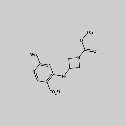 CCOC(=O)c1cnc(SC)nc1NC1CN(C(=O)OC(C)(C)C)C1